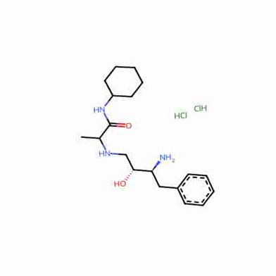 CC(NC[C@@H](O)[C@@H](N)Cc1ccccc1)C(=O)NC1CCCCC1.Cl.Cl